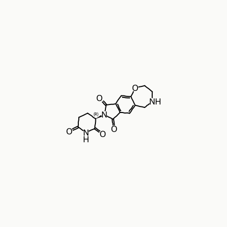 O=C1CC[C@@H](N2C(=O)c3cc4c(cc3C2=O)OCCNC4)C(=O)N1